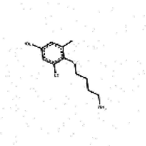 CCc1cc(C(C)(C)C)cc(C)c1OCCCCN